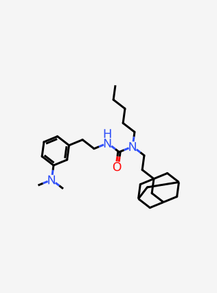 CCCCCN(CCC12CC3CC(CC(C3)C1)C2)C(=O)NCCc1cccc(N(C)C)c1